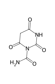 NC(=O)N1C(=O)CC(=O)NC1=O